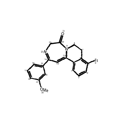 CCc1cccc2c1CCN1C(=O)CN=C(c3cccc(OC)c3)C=C21